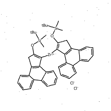 CC(C)(C)[Si](C)(C)OC1=[C]([Zr+2][C]2=C(O[Si](C)(C)C(C)(C)C)Cc3c2c2ccccc2c2ccccc32)c2c(c3ccccc3c3ccccc23)C1.[Cl-].[Cl-]